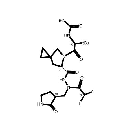 CC(C)C(=O)N[C@H](C(=O)N1CC2(CC2)C[C@H]1C(=O)NN(C[C@@H]1CCNC1=O)C(=O)[C@H](F)Cl)C(C)(C)C